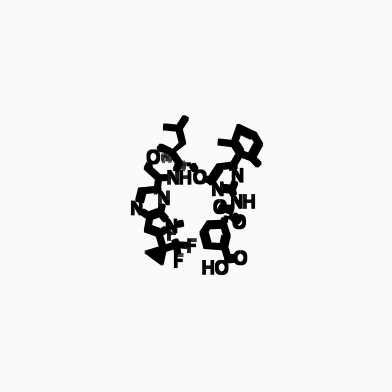 Cc1cccc(C)c1-c1cc(OC[C@@H]2NC(c3cnc4cc(C5(C(F)(F)F)CC5)n(C)c4n3)COC[C@H]2CC(C)C)nc(NS(=O)(=O)c2cccc(C(=O)O)c2)n1